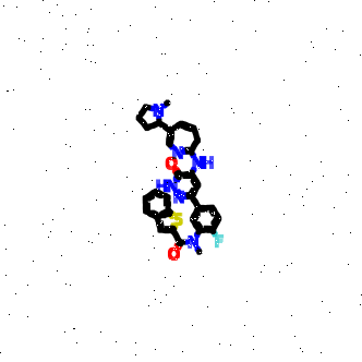 CN(C(=O)c1cc2ccccc2s1)c1cc(-c2cc(NC3=NC=C(C4CCCN4C)C=CC3)c(=O)[nH]n2)ccc1F